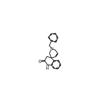 O=C1CC2(C=CCN(Cc3ccccc3)C2)c2ccccc2N1